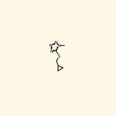 Cn1nnnc1SCC1CC1